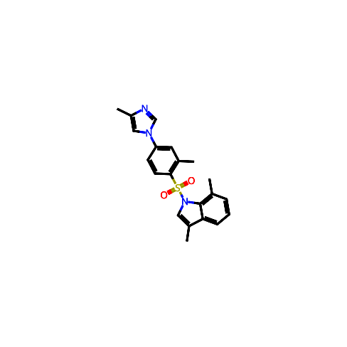 Cc1cn(-c2ccc(S(=O)(=O)n3cc(C)c4cccc(C)c43)c(C)c2)cn1